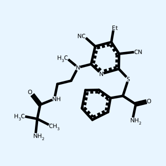 CCc1c(C#N)c(SC(C(N)=O)c2ccccc2)nc(N(C)CCNC(=O)C(C)(C)N)c1C#N